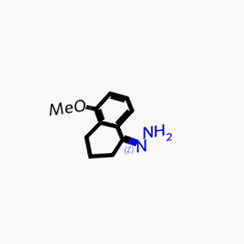 COc1cccc2c1CCC/C2=N/N